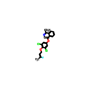 CO/N=C(/C(=O)O)c1ccccc1COc1cc(Cl)c(OCC=C(F)C(F)(F)F)c(Cl)c1